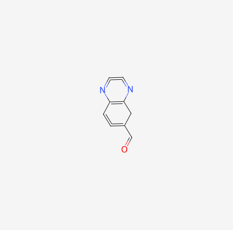 O=CC1=C=CC2=C(C1)N=C=C=N2